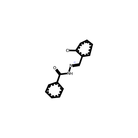 O=C(N/N=C/c1ccccc1Cl)c1ccccc1